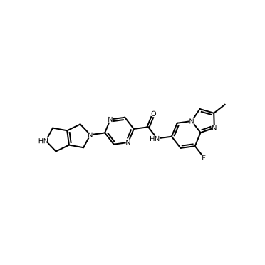 Cc1cn2cc(NC(=O)c3cnc(N4CC5=C(CNC5)C4)cn3)cc(F)c2n1